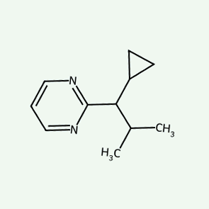 CC(C)C(c1ncccn1)C1CC1